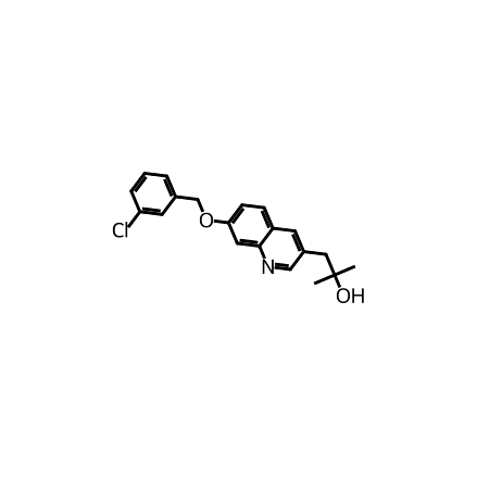 CC(C)(O)Cc1cnc2cc(OCc3cccc(Cl)c3)ccc2c1